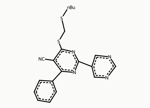 CCCCSCSc1nc(-c2cncnc2)nc(-c2ccccc2)c1C#N